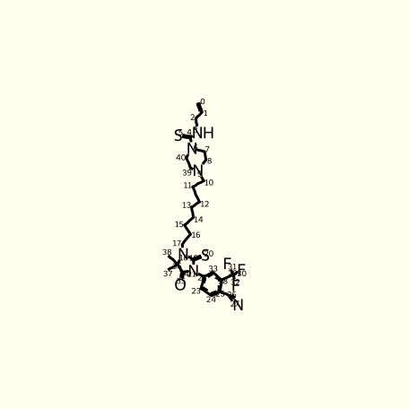 C=CCNC(=S)N1CCN(CCCCCCCCN2C(=S)N(c3ccc(C#N)c(C(F)(F)F)c3)C(=O)C2(C)C)CC1